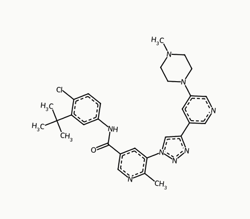 Cc1ncc(C(=O)Nc2ccc(Cl)c(C(C)(C)C)c2)cc1-n1cc(-c2cncc(N3CCN(C)CC3)c2)nn1